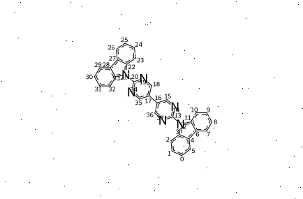 c1ccc2c(c1)c1ccccc1n2-c1ncc(-c2cnc(-n3c4ccccc4c4ccccc43)nc2)cn1